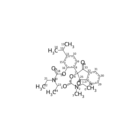 CCN(C)C(=O)OC1(c2ccc(C(C)C)cc2OC(=O)N(CC)CC)C(=O)c2ccccc2C1=O